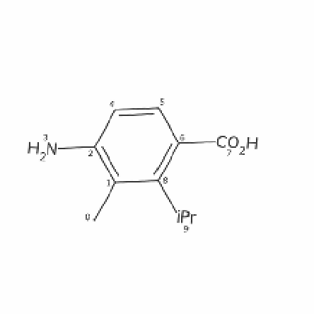 Cc1c(N)ccc(C(=O)O)c1C(C)C